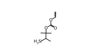 C=COC(=O)OC(C)(C)C(C)[SiH3]